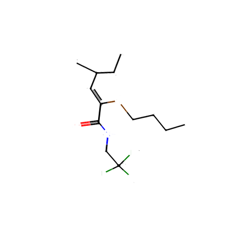 CCCCS/C(=C\C(C)CC)C(=O)NCC(F)(F)F